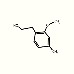 COc1cc(C)ccc1CCO